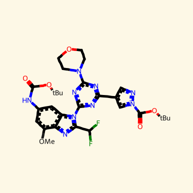 COc1cc(NC(=O)OC(C)(C)C)cc2c1nc(C(F)F)n2-c1nc(-c2cnn(C(=O)OC(C)(C)C)c2)nc(N2CCOCC2)n1